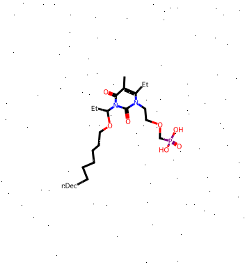 CCCCCCCCCCCCCCCCOC(CC)n1c(=O)c(C)c(CC)n(CCOCP(=O)(O)O)c1=O